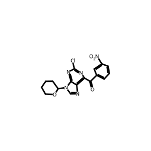 O=C(c1cccc([N+](=O)[O-])c1)c1nc(Cl)nc2c1ncn2C1CCCCO1